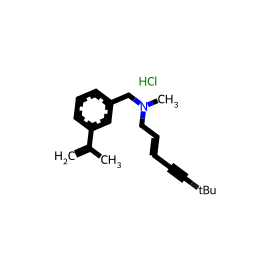 C=C(C)c1cccc(CN(C)CC=CC#CC(C)(C)C)c1.Cl